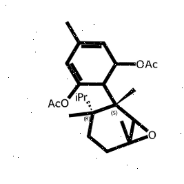 CC(=O)OC1=CC(C)=CC(OC(C)=O)C1[C@]1(C)C2OC2(C)CC[C@]1(C)C(C)C